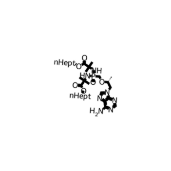 CCCCCCCOC(=O)C(C)(C)NP(=O)(CO[C@H](C)Cn1cnc2c(N)ncnc21)NC(C)(C)C(=O)OCCCCCCC